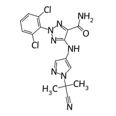 CC(C)(C#N)n1cc(Nc2nn(-c3c(Cl)cccc3Cl)nc2C(N)=O)cn1